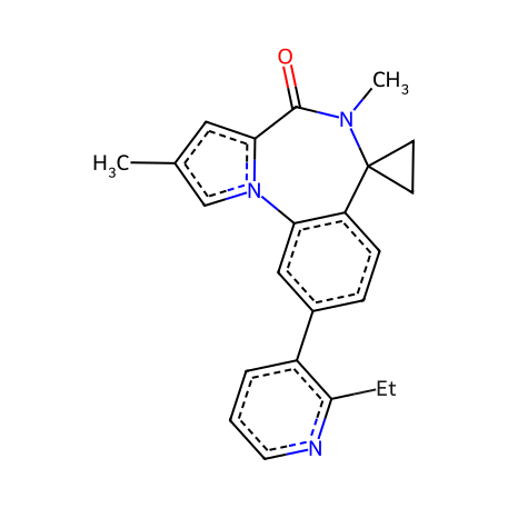 CCc1ncccc1-c1ccc2c(c1)-n1cc(C)cc1C(=O)N(C)C21CC1